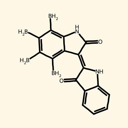 Bc1c(B)c(B)c2c(c1B)NC(=O)/C2=C1\Nc2ccccc2C1=O